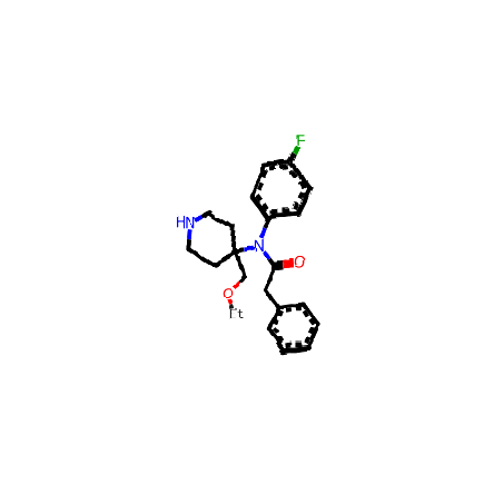 CCOCC1(N(C(=O)Cc2ccccc2)c2ccc(F)cc2)CCNCC1